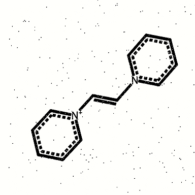 C(=C[n+]1ccccc1)[n+]1ccccc1